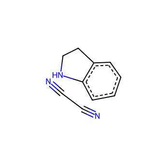 N#CC#N.c1ccc2c(c1)CCN2